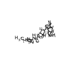 CCn1cnc(NC(=O)N2CC3C[C@@H](N(C)c4c(C#N)cnc5[nH]ccc45)C[C@@H]3C2)n1